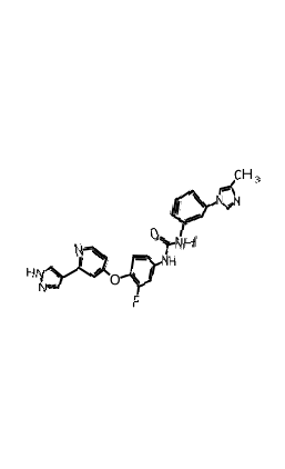 Cc1cn(-c2cccc(NC(=O)Nc3ccc(Oc4ccnc(-c5cn[nH]c5)c4)c(F)c3)c2)cn1